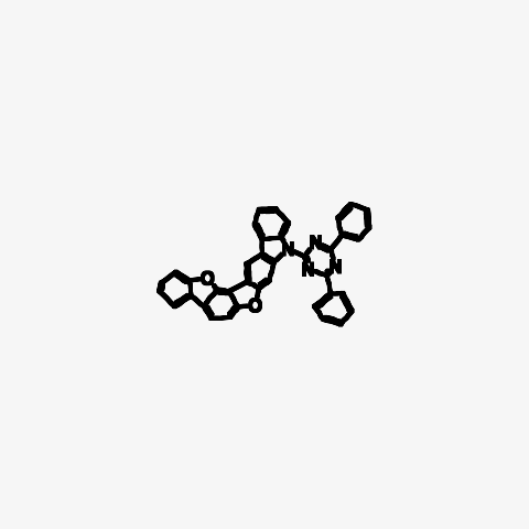 c1ccc(-c2nc(-c3ccccc3)nc(-n3c4ccccc4c4cc5c(cc43)oc3ccc4c6ccccc6oc4c35)n2)cc1